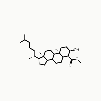 COC(=O)[C@H]1C2CCC3C(CC[C@@]4(C)C3CC[C@@H]4[C@H](C)CCCC(C)C)[C@@]2(C)CC[C@H]1O